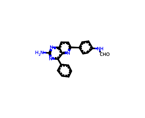 Nc1nc(-c2ccccc2)c2nc(-c3ccc(NC=O)cc3)ccc2n1